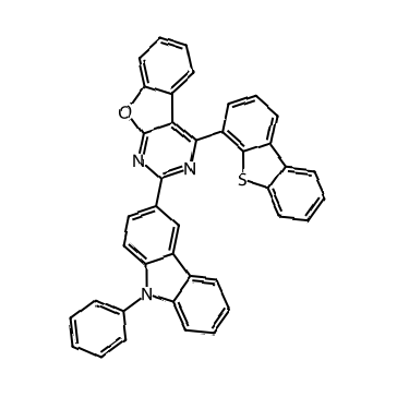 c1ccc(-n2c3ccccc3c3cc(-c4nc(-c5cccc6c5sc5ccccc56)c5c(n4)oc4ccccc45)ccc32)cc1